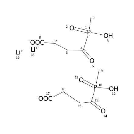 CP(=O)(O)C(=O)CCC(=O)[O-].CP(=O)(O)C(=O)CCC(=O)[O-].[Li+].[Li+]